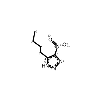 CCCCc1[nH]nnc1[N+](=O)[O-]